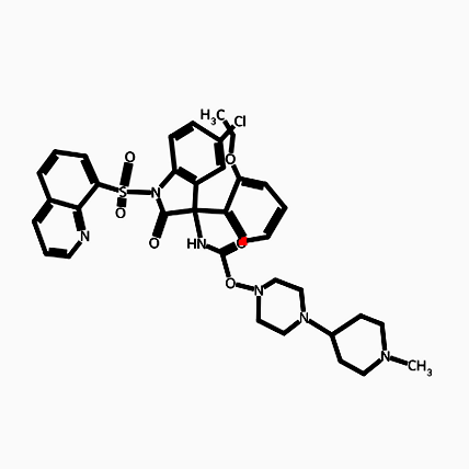 CCOc1ccccc1C1(NC(=O)ON2CCN(C3CCN(C)CC3)CC2)C(=O)N(S(=O)(=O)c2cccc3cccnc23)c2ccc(Cl)cc21